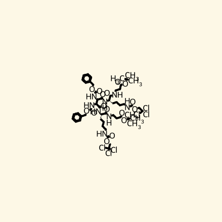 CC(C)(C)OC(=O)CCNC(=O)[C@H](CCCCNC(=O)OCC(Cl)(Cl)Cl)NC(=O)C(NC(=O)OCc1ccccc1)C(NC(=O)OCc1ccccc1)C(=O)N[C@@H](CCCCNC(=O)OCC(Cl)(Cl)Cl)C(=O)NCCC(=O)OC(C)(C)C